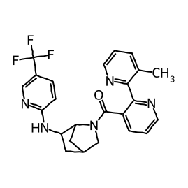 Cc1cccnc1-c1ncccc1C(=O)N1CC2CC(Nc3ccc(C(F)(F)F)cn3)C1C2